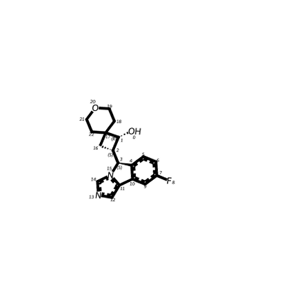 O[C@@H]1[C@H]([C@H]2c3ccc(F)cc3-c3cncn32)CC12CCOCC2